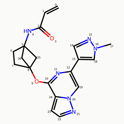 C=CC(=O)NC12CCC(Oc3nc(-c4cnn(C)c4)cn4nccc34)(C1)C2